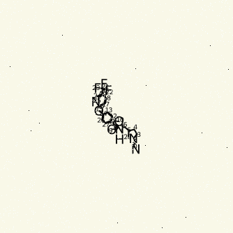 N#CN1CCC(CNS(=O)(=O)c2ccc(Oc3ccc(C(F)(F)F)cn3)cc2)C1